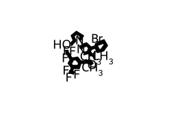 CN(C(=O)C(C)(C)c1cc(C(F)(F)F)cc(C(F)(F)F)c1)c1cnc(N2CCCC2CO)cc1-c1ccccc1Br